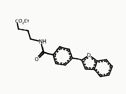 CCOC(=O)CCCNC(=O)c1ccc(-c2cc3ccccc3o2)cc1